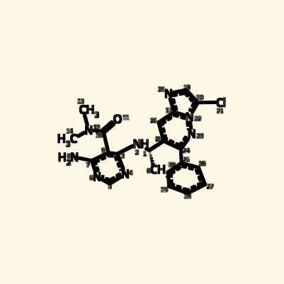 C[C@H](Nc1ncnc(N)c1C(=O)N(C)C)c1cc2ncc(Cl)n2nc1-c1ccccc1